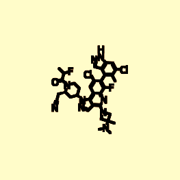 Cc1c(Cl)cc2[nH]ncc2c1-c1c(Cl)cc2c(nc(N3CC(C)(N(C)C)C3)c3cnn([C@H]4CCN(C(=O)C(C)F)[C@H](CC#N)C4)c32)c1F